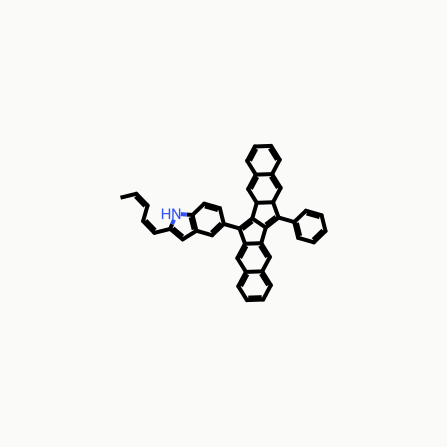 C/C=C\C=C/c1cc2cc(C3=C4C(=C(c5ccccc5)C5C=c6ccccc6=CC45)c4cc5ccccc5cc43)ccc2[nH]1